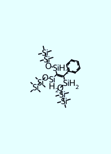 C[Si](C)(C)[Si](C)(C)O[SiH2]C([SiH2]O[Si](C)(C)[Si](C)(C)C)=C([SiH2]O[Si](C)(C)[Si](C)(C)C)c1ccccc1